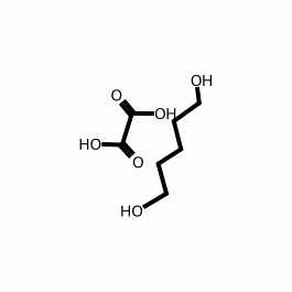 O=C(O)C(=O)O.OCCCCCO